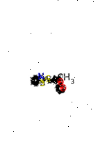 CC1(OC2CCCCO2)CC(CSc2nc3ccccc3s2)C1